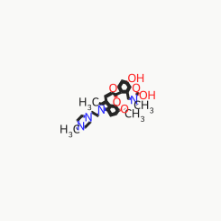 COc1ccc2c(c1)c(C=C1Oc3cc(O)cc(CN(C)C(=O)O)c3C1=O)c(C)n2CCN1CCN(C)CC1